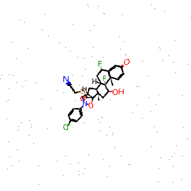 C[C@]12C=CC(=O)C=C1[C@@H](F)C[C@H]1C3C[C@H]4CN(c5ccc(Cl)cc5)O[C@@]4(C(=O)SCC#N)[C@@]3(C)C[C@H](O)[C@@]12F